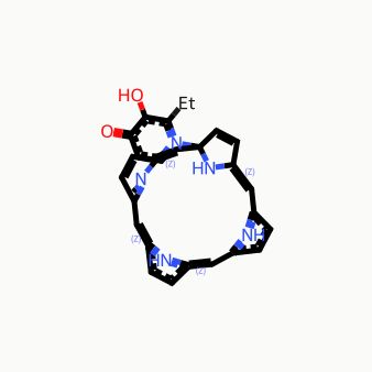 CCc1c(O)c(=O)ccn1C12C=C/C(=C/c3ccc([nH]3)/C=c3/cc/c([nH]3)=C/C3=NC(=C\1)/C=C3)N2